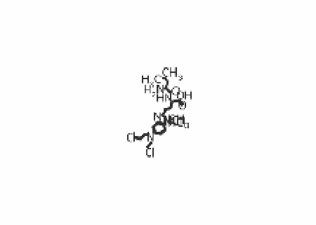 CC(C)CC(N)C(=O)NC(CCc1nc2cc(N(CCCl)CCCl)ccc2n1C)C(=O)O.Cl.Cl